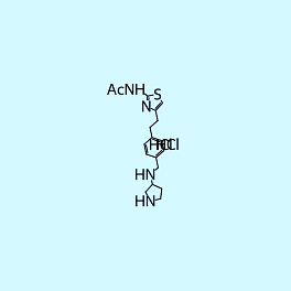 CC(=O)Nc1nc(CCc2ccc(CNC3CCNC3)cc2)cs1.Cl.Cl